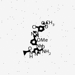 COc1c(Nc2cc(NC(=O)C3CC3)nnc2C(N)=O)cccc1-c1ncn(-c2ccc(S(C)(=O)=O)cc2Cl)n1